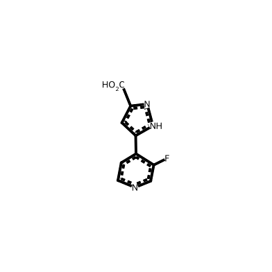 O=C(O)c1cc(-c2ccncc2F)[nH]n1